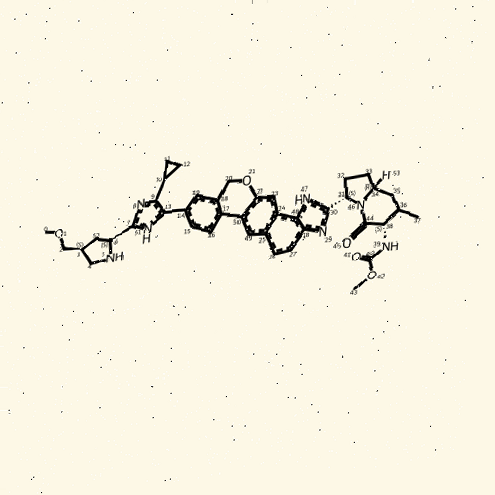 COC[C@@H]1CN[C@H](c2nc(C3CC3)c(-c3ccc4c(c3)COc3cc5c(ccc6nc([C@@H]7CC[C@@H]8CC(C)[C@H](NC(=O)OC)C(=O)N87)[nH]c65)cc3-4)[nH]2)C1